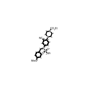 CCCS(=O)(=O)N(Cc1ccc(OC)cc1)c1ccc(N2CCN(C(=O)OCC)CC2)c(C#N)c1